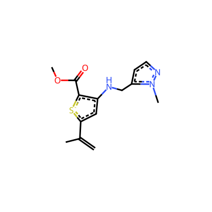 C=C(C)c1cc(NCc2ccnn2C)c(C(=O)OC)s1